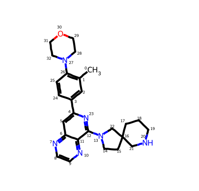 Cc1cc(-c2cc3nccnc3c(N3CCC4(CCCNC4)C3)n2)ccc1N1CCOCC1